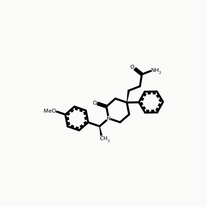 COc1ccc([C@H](C)N2CC[C@@](CCC(N)=O)(c3ccccc3)CC2=O)cc1